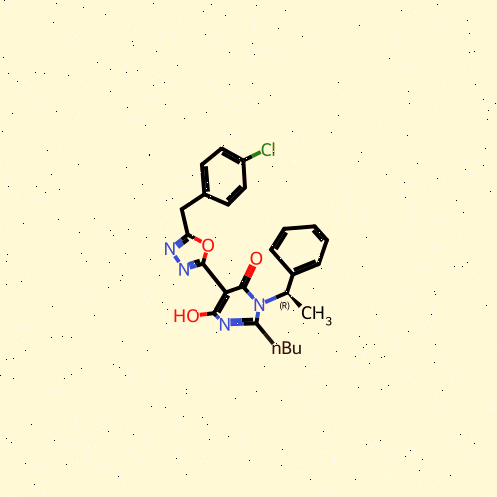 CCCCc1nc(O)c(-c2nnc(Cc3ccc(Cl)cc3)o2)c(=O)n1[C@H](C)c1ccccc1